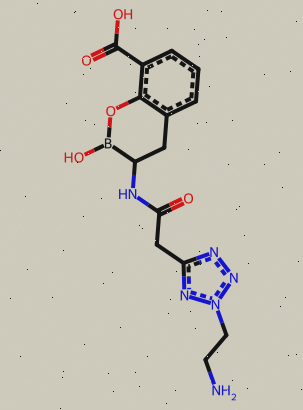 NCCn1nnc(CC(=O)NC2Cc3cccc(C(=O)O)c3OB2O)n1